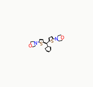 C1=CCC(/C(=C2/C=CC(=[N+]3CCOCC3)S2)c2ccc(N3CCOCC3)s2)C=C1